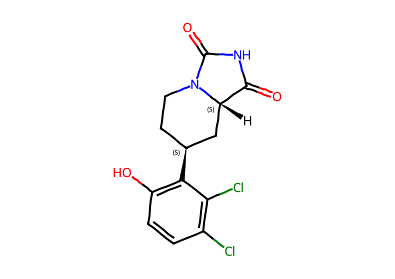 O=C1NC(=O)N2CC[C@H](c3c(O)ccc(Cl)c3Cl)C[C@@H]12